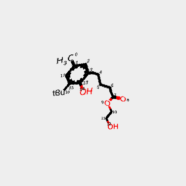 Cc1cc(CCCC(=O)OCCO)c(O)c(C(C)(C)C)c1